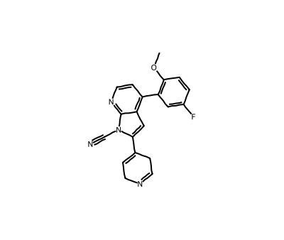 COc1ccc(F)cc1-c1ccnc2c1cc(C1=CCN=CC1)n2C#N